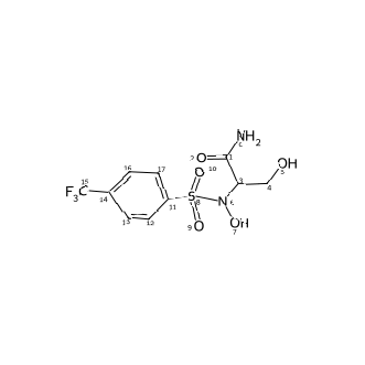 NC(=O)C(CO)N(O)S(=O)(=O)c1ccc(C(F)(F)F)cc1